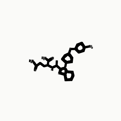 CC(NC(CCC(N)=O)C(N)=O)c1nc2ccccc2n1-c1ccc(Oc2ccc(C(F)(F)F)cc2)cc1